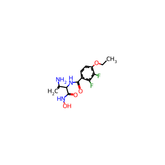 C=C(N)C(NC(=O)c1ccc(OCC)c(F)c1F)C(=O)NO